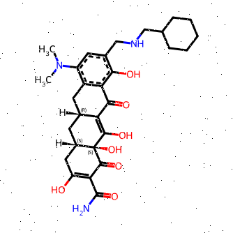 CN(C)c1cc(CNCC2CCCCC2)c(O)c2c1C[C@H]1C[C@H]3CC(O)=C(C(N)=O)C(=O)[C@@]3(O)C(O)=C1C2=O